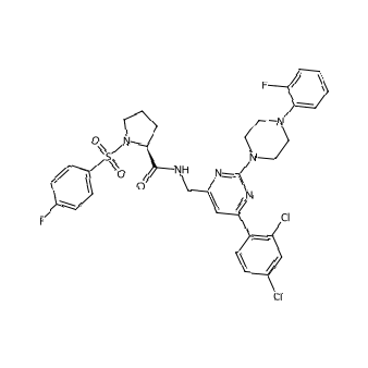 O=C(NCc1cc(-c2ccc(Cl)cc2Cl)nc(N2CCN(c3ccccc3F)CC2)n1)[C@@H]1CCCN1S(=O)(=O)c1ccc(F)cc1